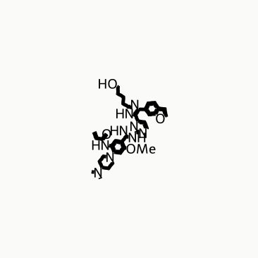 C=CC(=O)Nc1cc(C(=N)Nc2nccc(-c3[nH]c(CCCCO)nc3-c3ccc4ccoc4c3)n2)c(OC)cc1N1CCC(N(C)C)CC1